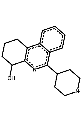 OC1CCCc2c1nc(C1CC[N]CC1)c1ccccc21